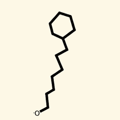 [O]CCCCCCCC1CCCCC1